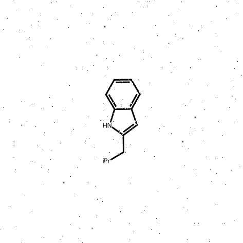 CC(C)[CH]c1cc2ccccc2[nH]1